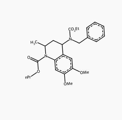 CCCOC(=O)N1c2cc(OC)c(OC)cc2C(N(Cc2ccccc2)C(=O)OCC)CC1C